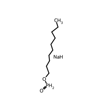 CCCCCCCCCCO[PH2]=O.[NaH]